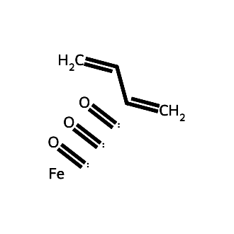 C=CC=C.[C]=O.[C]=O.[C]=O.[Fe]